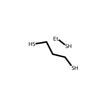 CCS.SCCCS